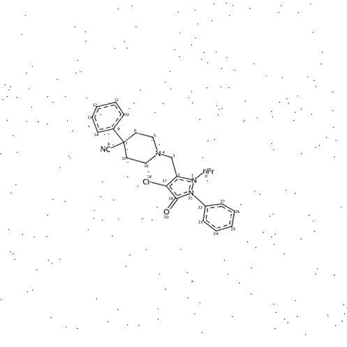 CCCn1c(CN2CCC(C#N)(c3ccccc3)CC2)c(Cl)c(=O)n1-c1ccccc1